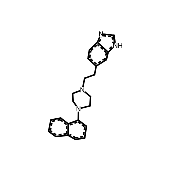 c1ccc2c(N3CCN(CCc4ccc5nc[nH]c5c4)CC3)cccc2c1